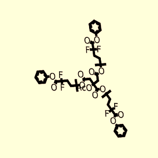 CC(=O)OC(CC(=O)OC(C)(C)CCC(F)(F)C(=O)Oc1ccccc1)(CC(=O)OC(C)(C)CCC(F)(F)C(=O)Oc1ccccc1)C(=O)OC(C)(C)CCC(F)(F)C(=O)Oc1ccccc1